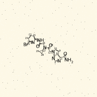 NC(=O)c1ncnc2c1ccn2CC(=O)N(CC(=O)Nc1cccc(Br)n1)C1CC1